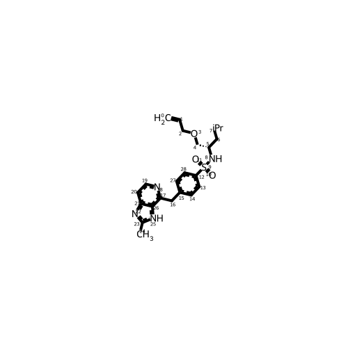 C=CCOC[C@H](CC(C)C)NS(=O)(=O)c1ccc(Cc2nccc3nc(C)[nH]c23)cc1